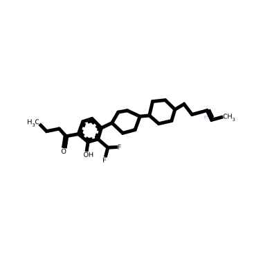 C/C=C/CCC1CCC(C2CCC(c3ccc(C(=O)CCC)c(O)c3C(F)F)CC2)CC1